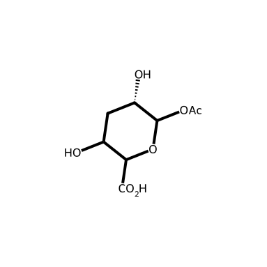 CC(=O)OC1OC(C(=O)O)C(O)C[C@@H]1O